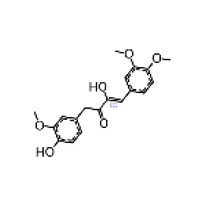 COc1cc(CC(=O)/C(O)=C/c2ccc(OC)c(OC)c2)ccc1O